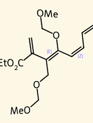 C=C/C=C\C(OCOC)=C(/COCOC)C(=C)C(=O)OCC